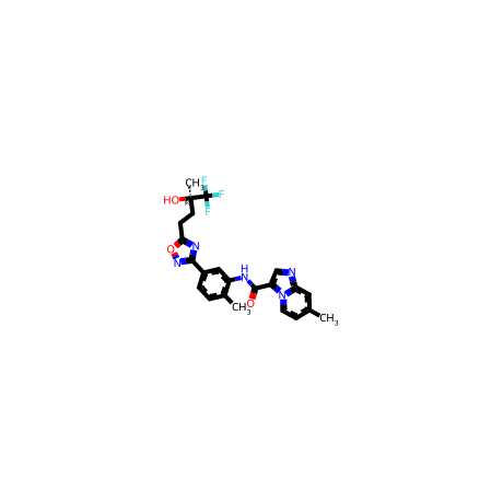 Cc1ccn2c(C(=O)Nc3cc(-c4noc(CC[C@@](C)(O)C(F)(F)F)n4)ccc3C)cnc2c1